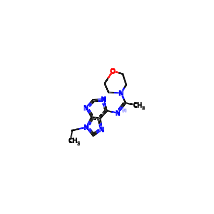 CCn1cnc2c(/N=C(/C)N3CCOCC3)ncnc21